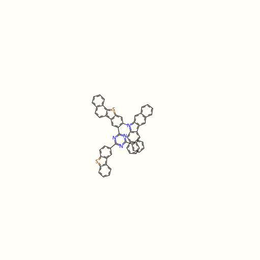 c1ccc(-c2nc(-c3ccc4sc5ccccc5c4c3)nc(-c3cc4c(cc3-n3c5cc6ccccc6cc5c5cc6ccccc6cc53)sc3c5ccccc5ccc43)n2)cc1